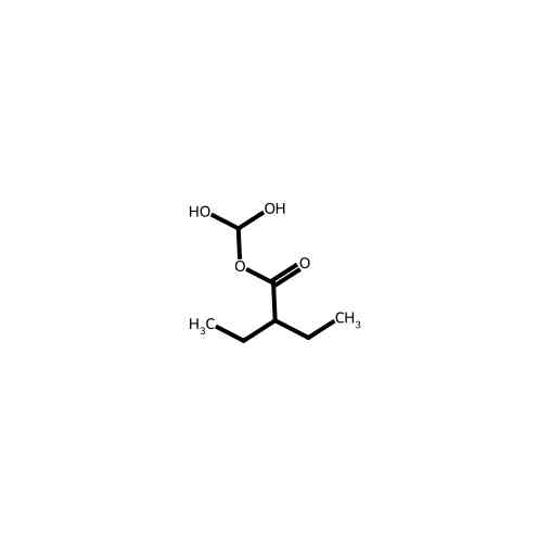 CCC(CC)C(=O)OC(O)O